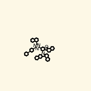 c1ccc(-c2ccc(-c3nc(-c4cc(-n5c6cc7ccccc7cc6c6c7ccccc7ccc65)c5c(c4)oc4c6ccccc6ccc45)nc(-c4cccc5ccccc45)n3)cc2)cc1